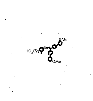 COc1cccc(-c2ccc(C(=CCSc3ccc(OCC(=O)O)c(C)c3)c3ccc(-c4cccc(OC)c4)cc3)cc2)c1